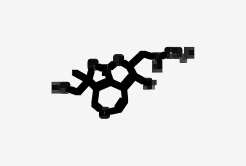 CC1(CO)OB2OC(CNC(=O)O)C(Br)=C3C=COCC1=C23